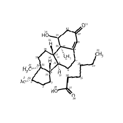 CC(=O)[C@H]1CC[C@H]2[C@@H]3CCC4=CC(=O)CC(O)[C@]4(C)[C@H]3CC[C@]12C.CCCCCC(=O)O